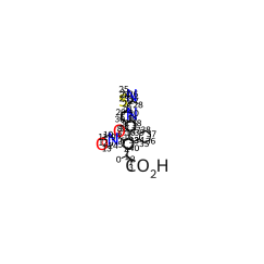 CC(=CC(=O)O)c1cc(C(=O)N2CCOCC2)c(-c2ccc3nc(-c4sc(C)nc4C)ccc3c2)c(C2CCCCC2)c1